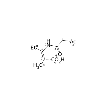 CCC(NC(=O)CC(C)=O)=C(C)C(=O)O